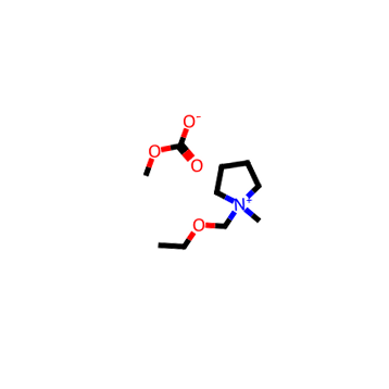 CCOC[N+]1(C)CCCC1.COC(=O)[O-]